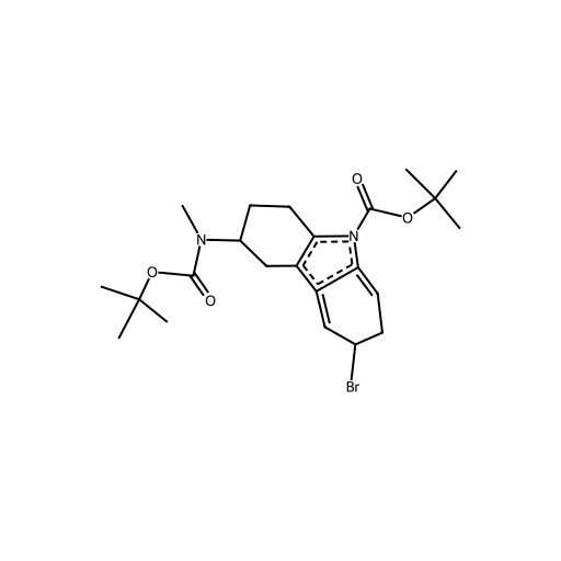 CN(C(=O)OC(C)(C)C)C1CCc2c(c3c(n2C(=O)OC(C)(C)C)=CCC(Br)C=3)C1